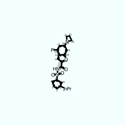 CCCc1cccc(S(=O)(=O)NC(=O)c2cc3c(F)cc(N4CCC4)cc3o2)c1